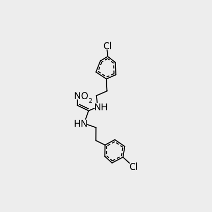 O=[N+]([O-])C=C(NCCc1ccc(Cl)cc1)NCCc1ccc(Cl)cc1